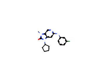 Cn1c(=O)n(C2CCCC2)c2cc(Nc3cccc(Cl)c3)ncc21